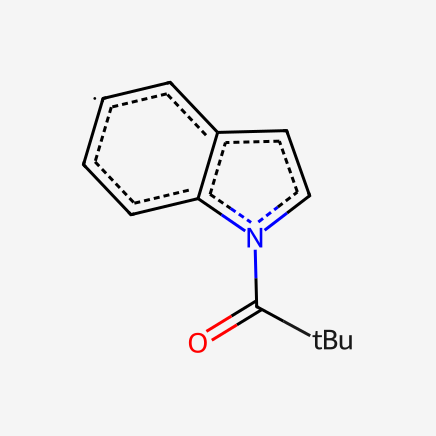 CC(C)(C)C(=O)n1ccc2c[c]ccc21